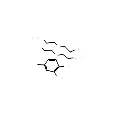 CCCCCCCCCCCCSCCC(=O)O.CCCCCCCCCCCCSCCC(=O)O.Cc1ccc(C(C)(C)C)c(O)c1